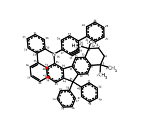 CC1(C)CCC(C)(C)c2cc3c(cc21)-c1c(N(c2c#cc(-c4ccccc4)cc2)c2ccccc2C2=CC=CCC2)cccc1C3(c1ccccc1)c1ccccc1